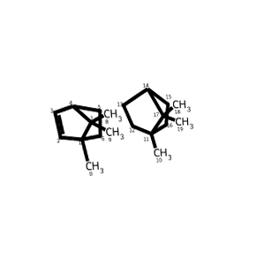 CC12C=CC(CC1)C2(C)C.CC12CCC(CC1)C2(C)C